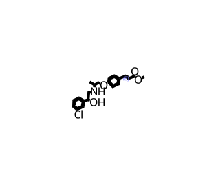 COC(=O)/C=C/c1ccc(OCC(C)NCC(O)c2cccc(Cl)c2)cc1